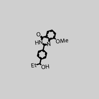 CCC(O)c1ccc(-c2nc3c(OC)cccc3c(=O)[nH]2)cc1